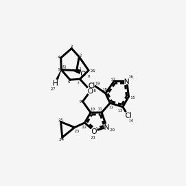 O=C1C2CC[C@H]1CC(OCc1c(-c3c(Cl)cncc3Cl)noc1C1CC1)C2